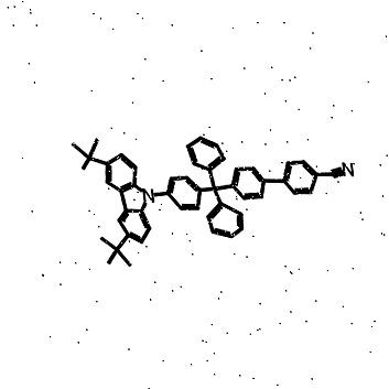 CC(C)(C)c1ccc2c(c1)c1cc(C(C)(C)C)ccc1n2-c1ccc(C(c2ccccc2)(c2ccccc2)c2ccc(-c3ccc(C#N)cc3)cc2)cc1